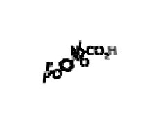 CC1=NN(c2ccc(OC(F)F)cc2)C(=O)C1C(=O)O